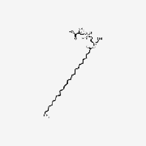 CCCCCCCCCCCCCCCCCCCCCCCCCC(=O)O[C@H](CO)COP(=O)(O)OC[C@H](N)C(=O)O